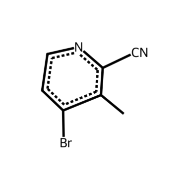 Cc1c(Br)ccnc1C#N